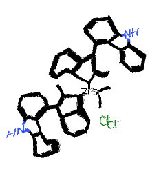 CC1=C(c2cccc3[nH]c4ccccc4c23)c2ccccc2[CH]1[Zr+2]([CH]1C(C)=C(c2cccc3[nH]c4ccccc4c23)c2ccccc21)=[Si](C)C.[Cl-].[Cl-]